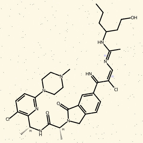 CCCC(CCO)N/C(C)=N/C=C(/Cl)C(=N)c1ccc2c(c1)C(=O)N([C@H](C)C(=O)N[C@H](C)c1nc(N3CCN(C)CC3)ccc1Cl)C2